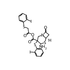 NC1S[C@@H]2CC(=O)N2CC1(Sc1ccccc1I)C(=O)OC(=O)CSc1ccccc1I